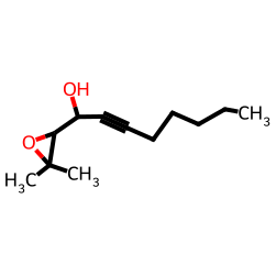 CCCCCC#CC(O)C1OC1(C)C